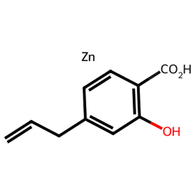 C=CCc1ccc(C(=O)O)c(O)c1.[Zn]